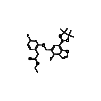 CCOC(=O)Cc1ccc(F)cc1OCc1cc(B2OC(C)(C)C(C)(C)O2)c2occc2c1F